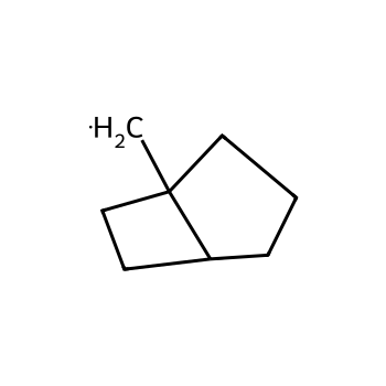 [CH2]C12CCCC1CC2